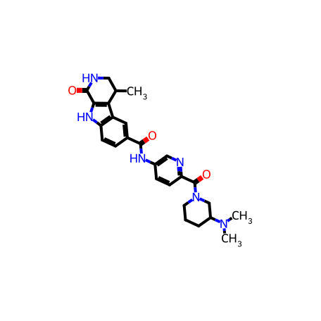 CC1CNC(=O)c2[nH]c3ccc(C(=O)Nc4ccc(C(=O)N5CCCC(N(C)C)C5)nc4)cc3c21